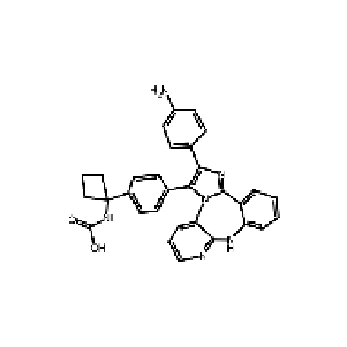 Nc1ccc(-c2nc3n(c2-c2ccc(C4(NC(=O)O)CCC4)cc2)-c2cccnc2Nc2ccccc2-3)cc1